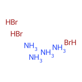 Br.Br.Br.N.N.N.N